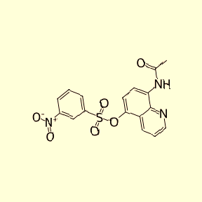 CC(=O)Nc1ccc(OS(=O)(=O)c2cccc([N+](=O)[O-])c2)c2cccnc12